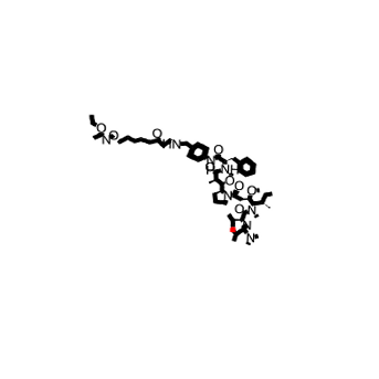 CCO/C(C)=N\OCCCCCC(=O)CCNCc1ccc(NC(=O)[C@H](Cc2ccccc2)NC(=O)[C@H](C)[C@@H](OC)[C@@H]2CCCN2C(=O)C[C@@H](OC)[C@H]([C@@H](C)CC)N(C)C(=O)[C@@H](/N=C(\C(C)C)N(C)C)C(C)C)cc1